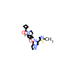 Cc1ncc(-c2cn3nccc3c(O[C@]34C[C@@H]5N(C(=O)C6=CCC6)CC[C@]53C4)n2)s1